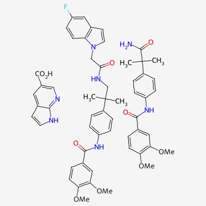 COc1ccc(C(=O)Nc2ccc(C(C)(C)C(N)=O)cc2)cc1OC.COc1ccc(C(=O)Nc2ccc(C(C)(C)CNC(=O)Cn3ccc4cc(F)ccc43)cc2)cc1OC.O=C(O)c1cnc2[nH]ccc2c1